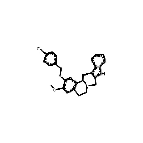 COc1cc2c(cc1OCc1ccc(Cl)cc1)C1Cc3c([nH]c4ccccc34)CN1CC2